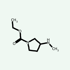 CCOC(=O)N1CCC(NC)C1